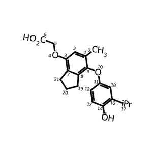 Cc1cc(OCC(=O)O)c2c(c1Oc1ccc(O)c(C(C)C)c1)CCC2